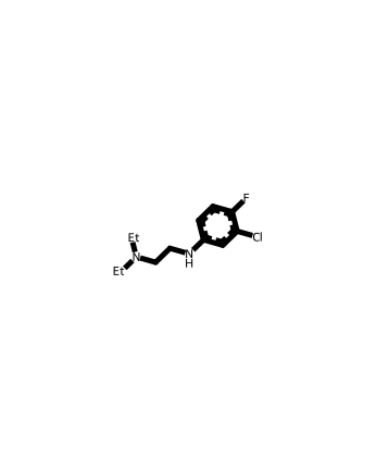 CCN(CC)CCNc1ccc(F)c(Cl)c1